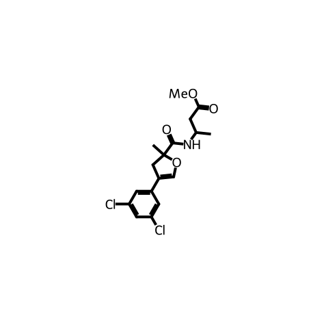 COC(=O)CC(C)NC(=O)C1(C)CC(c2cc(Cl)cc(Cl)c2)=CO1